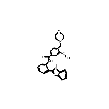 COC1=CC(C(=O)Nc2ccccc2-c2nc3ccccc3[nH]2)CC=C1CN1CCOCC1